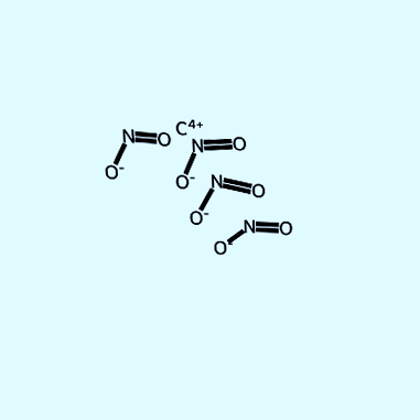 O=N[O-].O=N[O-].O=N[O-].O=N[O-].[C+4]